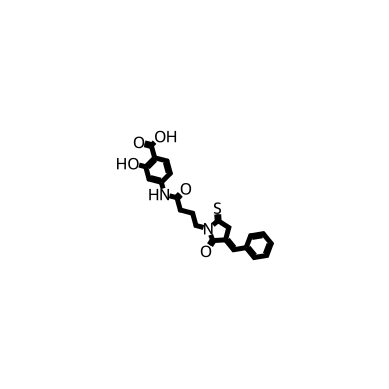 O=C(CCCN1C(=O)/C(=C/c2ccccc2)CC1=S)Nc1ccc(C(=O)O)c(O)c1